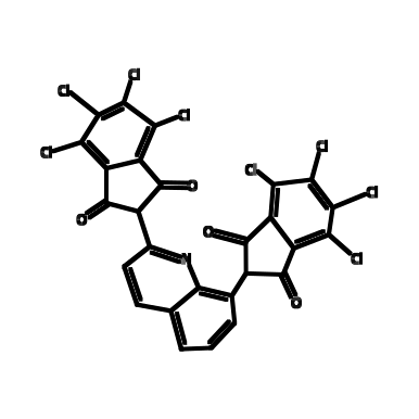 O=C1c2c(Cl)c(Cl)c(Cl)c(Cl)c2C(=O)C1c1ccc2cccc(C3C(=O)c4c(Cl)c(Cl)c(Cl)c(Cl)c4C3=O)c2n1